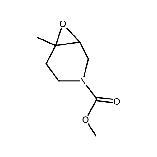 COC(=O)N1CCC2(C)OC2C1